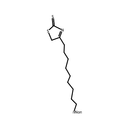 CCCCCCCCCCCCCCCCCCC1=NC(=S)SC1